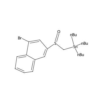 CCC[CH2][Sn]([CH2]CCC)([CH2]CCC)[CH2]S(=O)c1cc(Br)c2ccccc2c1